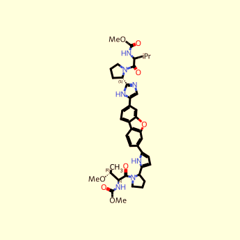 COC(=O)NC(C(=O)N1CCC[C@H]1c1ncc(-c2ccc3c(c2)oc2cc(-c4ccc(C5CCCN5C(=O)[C@@H](NC(=O)OC)[C@@H](C)OC)[nH]4)ccc23)[nH]1)C(C)C